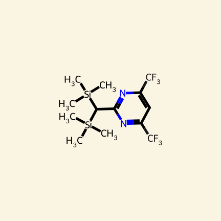 C[Si](C)(C)C(c1nc(C(F)(F)F)cc(C(F)(F)F)n1)[Si](C)(C)C